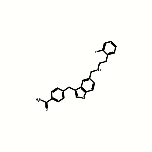 NC(=O)c1ccc(Cc2c[nH]c3ccc(CNCCc4ccccc4F)cc23)cc1